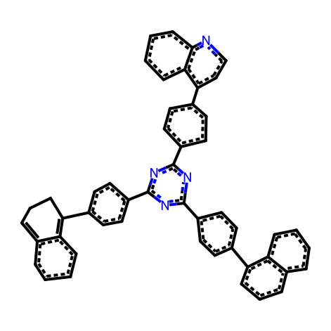 C1=c2ccccc2=C(c2ccc(-c3nc(-c4ccc(-c5cccc6ccccc56)cc4)nc(-c4ccc(-c5ccnc6ccccc56)cc4)n3)cc2)CC1